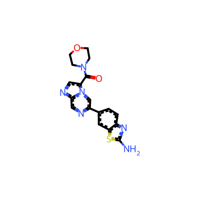 Nc1nc2ccc(-c3cn4c(C(=O)N5CCOCC5)cnc4cn3)cc2s1